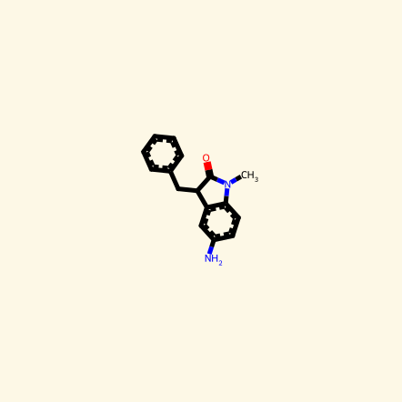 CN1C(=O)C(Cc2ccccc2)c2cc(N)ccc21